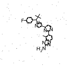 Cc1c(-c2nccc(-c3cnn(C(c4ccc(F)cc4)C(C)(C)C)c3)n2)ccn2nc(N)nc12